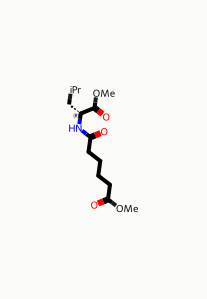 COC(=O)CCCCC(=O)N[C@H](CC(C)C)C(=O)OC